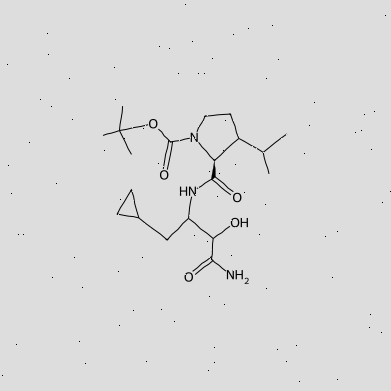 CC(C)C1CCN(C(=O)OC(C)(C)C)[C@@H]1C(=O)NC(CC1CC1)C(O)C(N)=O